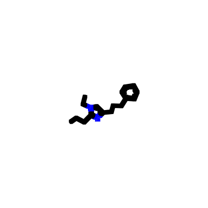 CCCc1nc(CCCc2ccccc2)cn1CC